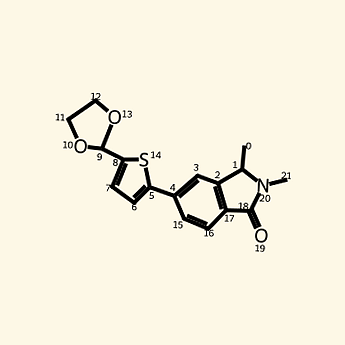 CC1c2cc(-c3ccc(C4OCCO4)s3)ccc2C(=O)N1C